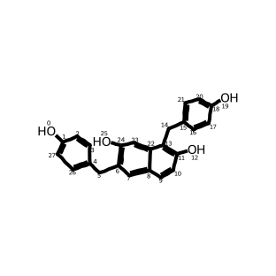 Oc1ccc(Cc2cc3ccc(O)c(Cc4ccc(O)cc4)c3cc2O)cc1